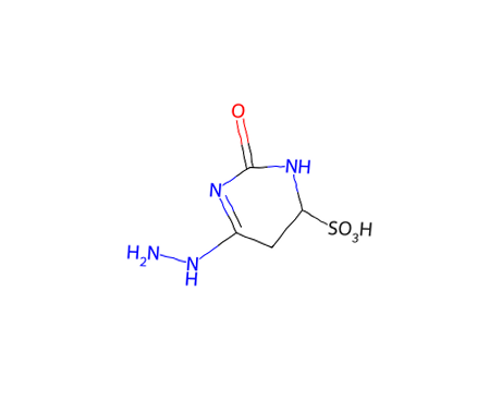 NNC1=NC(=O)NC(S(=O)(=O)O)C1